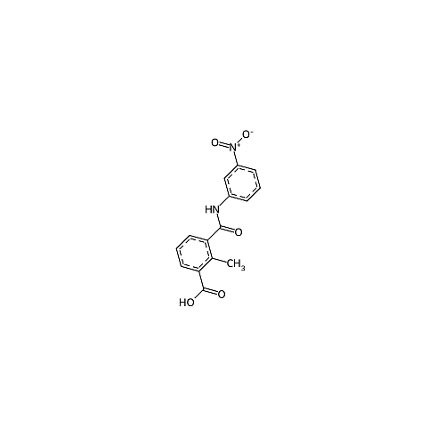 Cc1c(C(=O)O)cccc1C(=O)Nc1cccc([N+](=O)[O-])c1